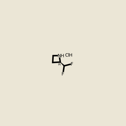 Cl.FC(F)[C@H]1CCN1